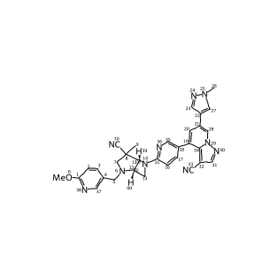 COc1ccc(CN2CC(C)(C#N)[C@H]3[C@@H]2CN3c2ccc(-c3cc(-c4cnn(C)c4)cn4ncc(C#N)c34)cn2)cn1